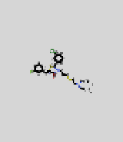 CCN(CC)CCSCCCN1C(=O)/C(=C/c2cccc(F)c2)SC1c1cccc(Cl)c1